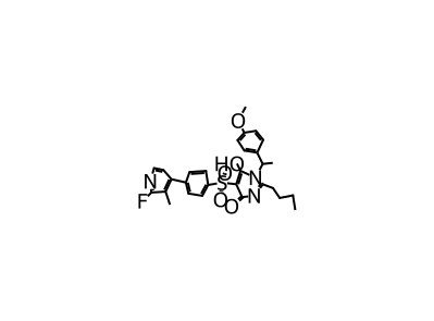 CCCCc1nc(=O)c(S(=O)(=O)c2ccc(-c3ccnc(F)c3C)cc2)c(O)n1C(C)c1ccc(OC)cc1